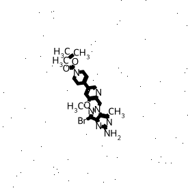 COc1cc(C2=CCN(C(=O)OC(C)(C)C)CC2)cnc1Cn1nc(Br)c2nc(N)nc(C)c21